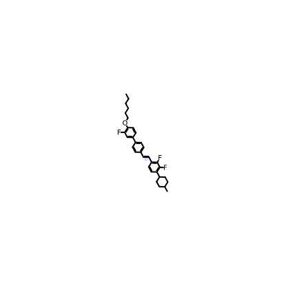 CCCCCCOc1ccc(-c2ccc(/C=C/c3ccc(C4CCC(C)CC4)c(F)c3F)cc2)cc1F